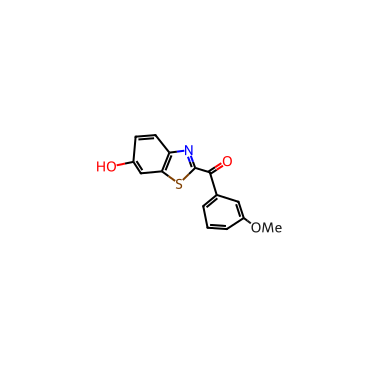 COc1cccc(C(=O)c2nc3ccc(O)cc3s2)c1